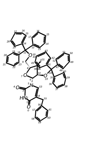 O=c1[nH]c(=O)n([C@@H]2O[C@H](COC(c3ccccc3)(c3ccccc3)c3ccccc3)[C@@H](I)[C@H]2OC(c2ccccc2)(c2ccccc2)c2ccccc2)cc1Cc1ccccc1